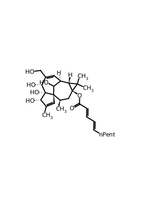 CCCCC/C=C/C=C/C(=O)O[C@@]12C[C@@H](C)[C@]34C=C(C)[C@H](O)[C@@]3(O)[C@H](O)C(CO)=C[C@H](C4O)[C@@H]1C2(C)C